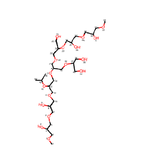 COCC(O)COCC(O)COCC(COC(COCC(CO)OCC(O)COCC(O)COC)COC(CO)CO)OC(C)C